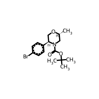 C[C@@H]1CN(C(=O)OC(C)(C)C)[C@@H](c2ccc(Br)cc2)CO1